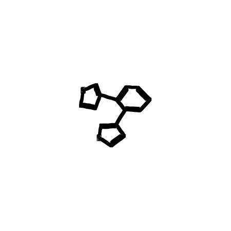 c1ccc(-c2ccsc2)c(-c2ccsc2)c1